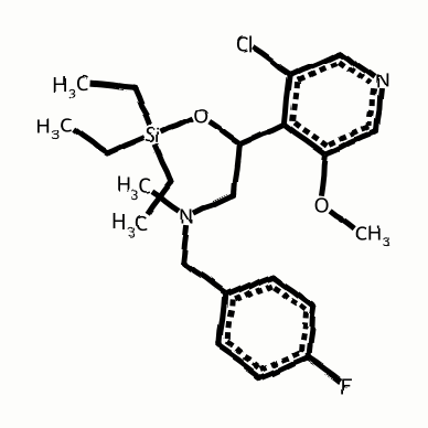 CC[Si](CC)(CC)OC(CN(C)Cc1ccc(F)cc1)c1c(Cl)cncc1OC